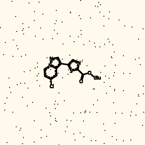 CC(C)(C)OC(=O)c1ncc(-c2cnn3ccc(Cl)cc23)s1